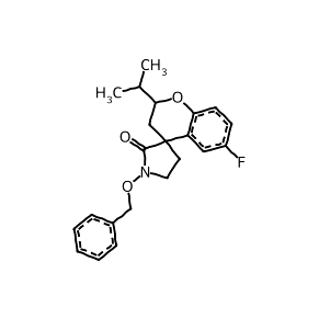 CC(C)C1CC2(CCN(OCc3ccccc3)C2=O)c2cc(F)ccc2O1